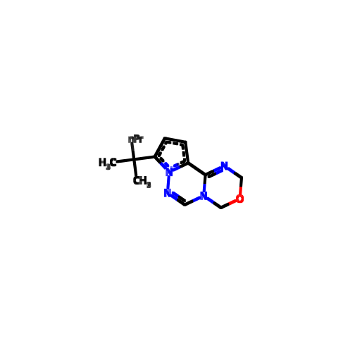 CCCC(C)(C)c1ccc2n1N=CN1COCN=C21